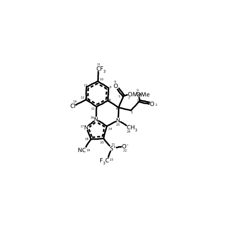 COC(=O)CC1(C(=O)OC)c2cc(C(F)(F)F)cc(Cl)c2-n2nc(C#N)c([S+]([O-])C(F)(F)F)c2N1C